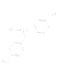 CC(C)(C)N[C@H](Cc1ccc(O)cc1)c1ccc(C(C)(C)C)cc1